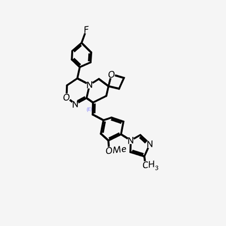 COc1cc(/C=C2\CC3(CCO3)CN3C2=NOCC3c2ccc(F)cc2)ccc1-n1cnc(C)c1